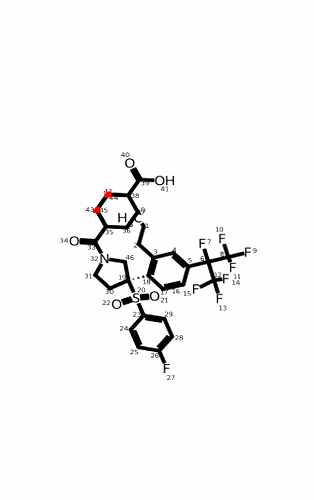 CCCc1cc(C(F)(C(F)(F)F)C(F)(F)F)ccc1[C@]1(S(=O)(=O)c2ccc(F)cc2)CCN(C(=O)C23CCC(C(=O)O)(CC2)CC3)C1